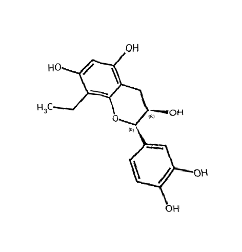 CCc1c(O)cc(O)c2c1O[C@H](c1ccc(O)c(O)c1)[C@H](O)C2